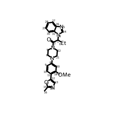 CCC(C(=O)N1CCN(c2ccc(-c3cnc(C)o3)c(OC)c2)CC1)n1cnc2ccccc21